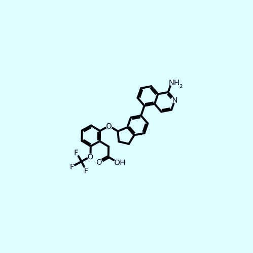 Nc1nccc2c(-c3ccc4c(c3)C(Oc3cccc(OC(F)(F)F)c3CC(=O)O)CC4)cccc12